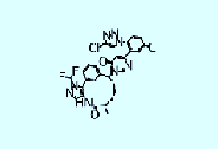 C[C@@H]1CCC[C@H](n2cnc(-c3cc(Cl)ccc3-n3cc(Cl)nn3)cc2=O)c2cccc(c2)-c2c(cnn2C(F)F)NC1=O